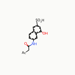 CC(=O)CC(=O)Nc1ccc2cc(S(=O)(=O)O)cc(O)c2c1